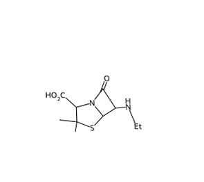 CCNC1C(=O)N2C1SC(C)(C)C2C(=O)O